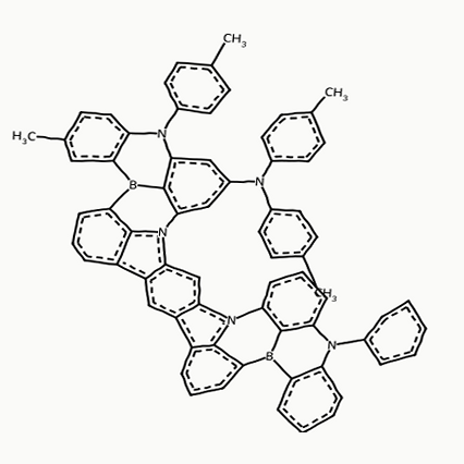 Cc1ccc(N(c2ccc(C)cc2)c2cc3c4c(c2)-n2c5cc6c(cc5c5cccc(c52)B4c2cc(C)ccc2N3c2ccc(C)cc2)c2cccc3c2n6-c2cccc4c2B3c2ccccc2N4c2ccccc2)cc1